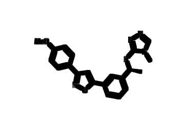 COc1ccc(-c2cc(-c3cccc([C@H](C)Sc4nncn4C)c3)on2)cc1